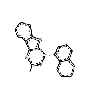 Cc1nc(-c2cccc3ccccc23)c2sc3ccccc3c2n1